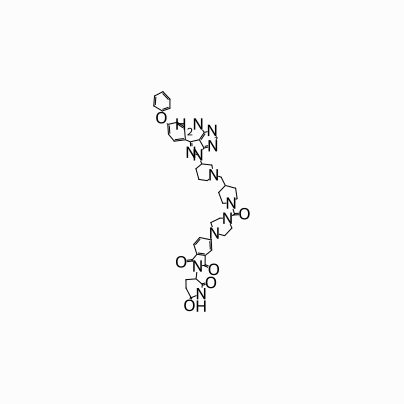 Nc1ncnc2c1c(-c1ccc(Oc3ccccc3)cc1)nn2C1CCCN(CC2CCN(C(=O)N3CCN(c4ccc5c(c4)C(=O)N(C4CCC(=O)NC4=O)C5=O)CC3)CC2)C1